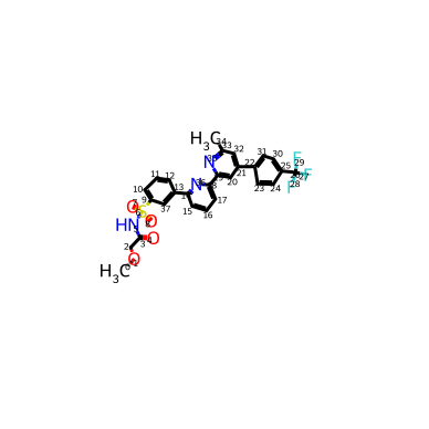 COCC(=O)NS(=O)(=O)c1cccc(-c2cccc(-c3cc(-c4ccc(C(F)(F)F)cc4)cc(C)n3)n2)c1